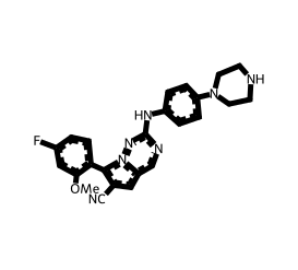 COc1cc(F)ccc1-c1c(C#N)cc2cnc(Nc3ccc(N4CCNCC4)cc3)nn12